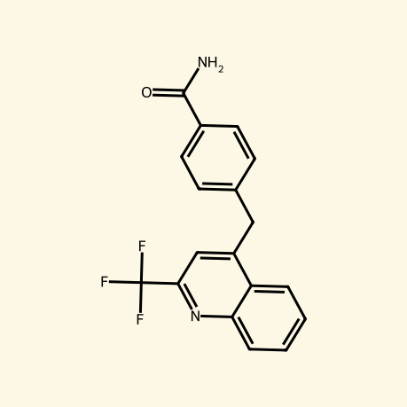 NC(=O)c1ccc(Cc2cc(C(F)(F)F)nc3ccccc23)cc1